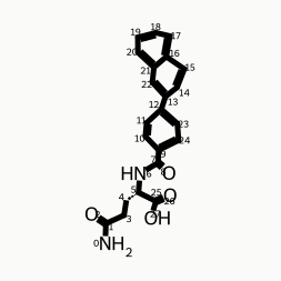 NC(=O)CC[C@H](NC(=O)c1ccc(-c2ccc3ccccc3c2)cc1)C(=O)O